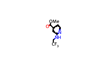 COC(=O)c1ccnc(NCC(F)(F)F)c1